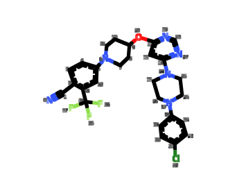 N#Cc1ccc(N2CCC(Oc3cc(N4CCN(c5ccc(Cl)cc5)CC4)ncn3)CC2)cc1C(F)(F)F